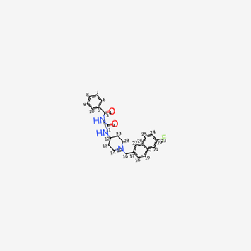 O=C(NC(=O)c1ccccc1)NC1CCN(Cc2ccc3cc(F)ccc3c2)CC1